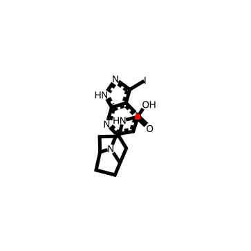 O=C(O)NC1CC2CCC(C1)N2c1cnc2c(I)n[nH]c2n1